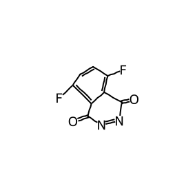 O=C1N=NC(=O)c2c(F)ccc(F)c21